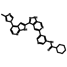 Cc1cn(-c2ccnc3[nH]c(-c4n[nH]c5cnc(-c6cncc(NC(=O)C7CCCCC7)c6)cc45)cc23)cn1